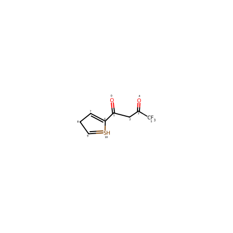 O=C(CC(=O)C(F)(F)F)C1=CCC=[SH]1